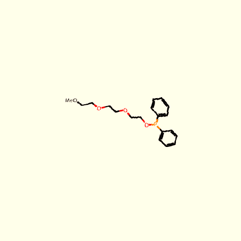 COCCOCCOCCOP(c1ccccc1)c1ccccc1